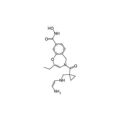 CCC1=CN(C(=O)C2(CN/C=C\N)CC2)Cc2ccc(C(=O)NO)cc2O1